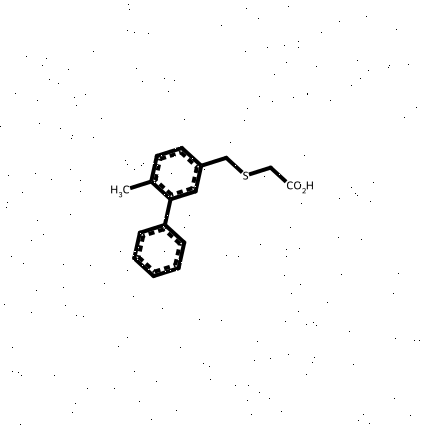 Cc1ccc(CSCC(=O)O)cc1-c1ccccc1